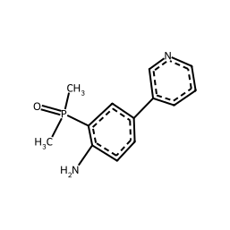 CP(C)(=O)c1cc(-c2cccnc2)ccc1N